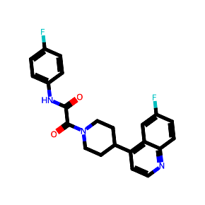 O=C(Nc1ccc(F)cc1)C(=O)N1CCC(c2ccnc3ccc(F)cc23)CC1